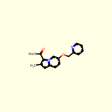 COC(=O)c1c(C)cc2ccc(OCc3ccccn3)cn12